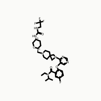 CCN(C(=O)c1cc(F)ccc1Oc1cncnc1N1CC2(CCN(C[C@@H]3CC[C@@H](NC(=O)NCC(F)(F)F)CO3)CC2)C1)C(C)C